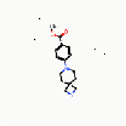 CC(C)(C)OC(=O)c1ccc(N2CCC3(CC2)CNC3)cc1